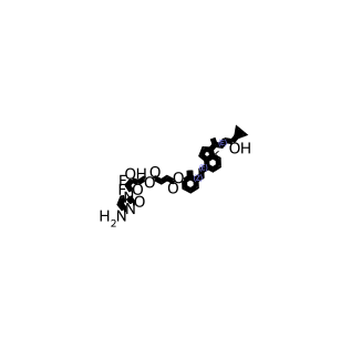 C=C1/C(=C\C=C2/CCC[C@@]3(C)C2CCC3C(C)/C=C/C(O)C2CC2)CCCC1OC(=O)CCC(=O)OCC1OC(n2ccc(N)nc2=O)C(F)(F)C1O